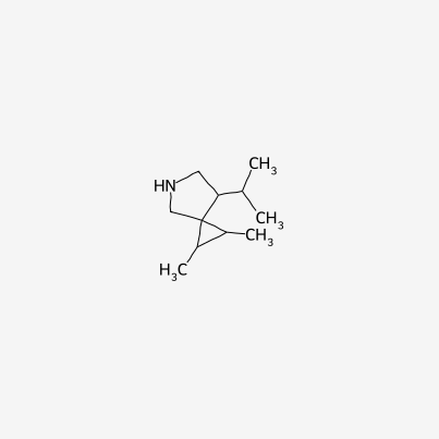 CC(C)C1CNCC12C(C)C2C